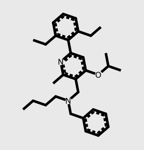 CCCCN(Cc1ccccc1)Cc1c(OC(C)C)cc(-c2c(CC)cccc2CC)nc1C